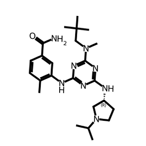 Cc1ccc(C(N)=O)cc1Nc1nc(N[C@@H]2CCN(C(C)C)C2)nc(N(C)CC(C)(C)C)n1